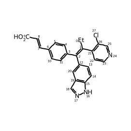 CCC(=C(c1ccc(C=CC(=O)O)cc1)c1ccc2[nH]ncc2c1)c1ccncc1Cl